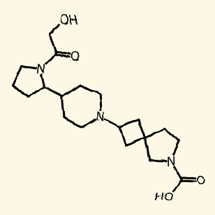 O=C(O)N1CCC2(CC(N3CCC(C4CCCN4C(=O)CO)CC3)C2)C1